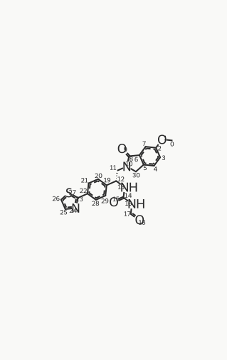 COc1ccc2c(c1)C(=O)N(C[C@H](NC(=O)NC=O)c1ccc(-c3nccs3)cc1)C2